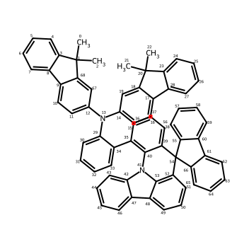 CC1(C)c2ccccc2-c2ccc(N(c3ccc4c(c3)C(C)(C)c3ccccc3-4)c3ccccc3-c3cccc4c3-n3c5ccccc5c5cccc(c53)C43c4ccccc4-c4ccccc43)cc21